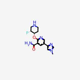 Cn1cnc(-c2cnc(O[C@H]3CCNC[C@H]3F)c(C(N)=O)c2)c1